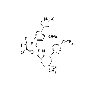 COc1cc(Nc2nc3n(n2)CC[C@@](C)(O)C[C@@H]3c2ccc(OC(F)(F)F)cc2)ccc1-n1cnc(Cl)c1.O=C(O)C(F)(F)F